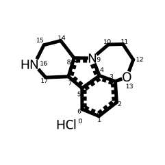 Cl.c1cc2c3c(c1)c1c(n3CCCO2)CCNC1